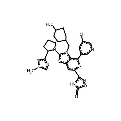 CC1CCC(Cn2c(N3CCCC3c3ncn(C)n3)nc3cc(-c4noc(=O)[nH]4)nc(-c4cncc(Cl)c4)c32)CC1